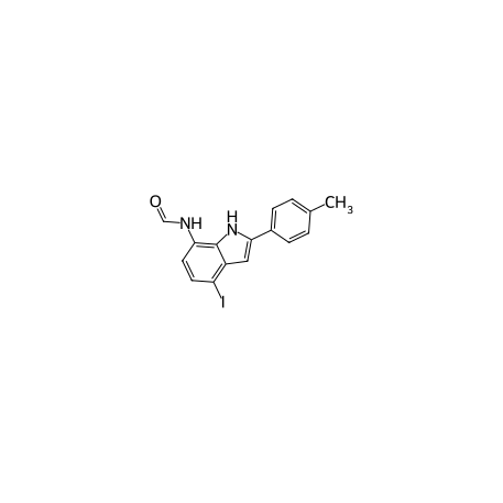 Cc1ccc(-c2cc3c(I)ccc(NC=O)c3[nH]2)cc1